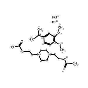 CC(=O)OCCN1CCN(CCOC(C)=O)CC1.COc1ccc(C(C)C)cc1OC.Cl.Cl